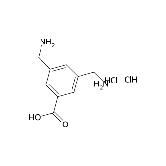 Cl.Cl.NCc1cc(CN)cc(C(=O)O)c1